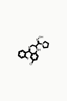 O/N=C(/C1CN=C(c2ccccc2F)c2cc(Cl)ccc2N1)N1CCCC1